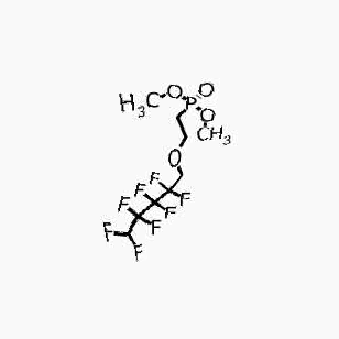 COP(=O)(CCOCC(F)(F)C(F)(F)C(F)(F)C(F)F)OC